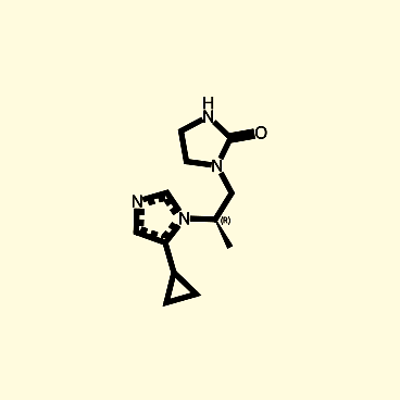 C[C@H](CN1CCNC1=O)n1cncc1C1CC1